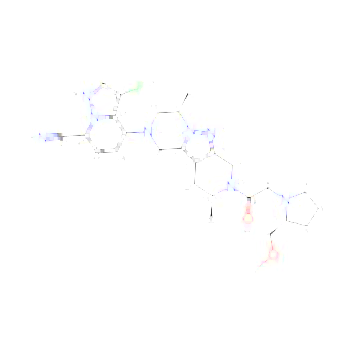 COC[C@@H]1CCCN1CC(=O)N1Cc2nn3c(c2C[C@@H]1C)CN(c1ccc(C#N)n2ncc(F)c12)C[C@H]3C